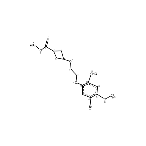 CCCCOC(=O)C1CC(OCCOc2cc(Br)c(OC(F)(F)F)cc2C=O)C1